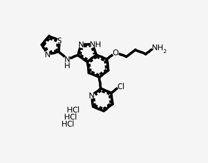 Cl.Cl.Cl.NCCCOc1cc(-c2ncccc2Cl)cc2c(Nc3nccs3)n[nH]c12